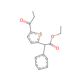 CCOC(=O)C(c1ccccc1)c1ccc(C(=O)CC)s1